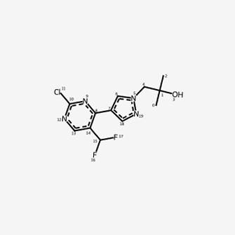 CC(C)(O)Cn1cc(-c2nc(Cl)ncc2C(F)F)cn1